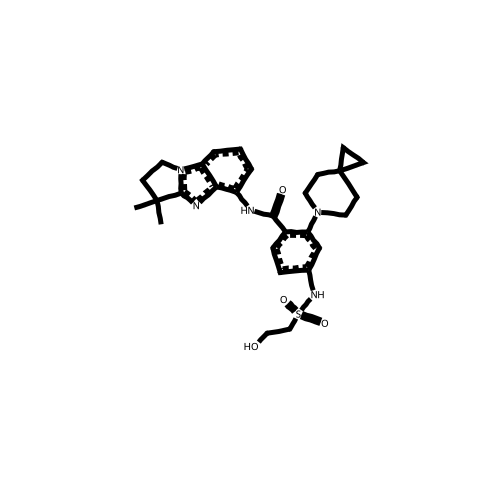 CC1(C)CCn2c1nc1c(NC(=O)c3ccc(NS(=O)(=O)CCO)cc3N3CCC4(CC3)CC4)cccc12